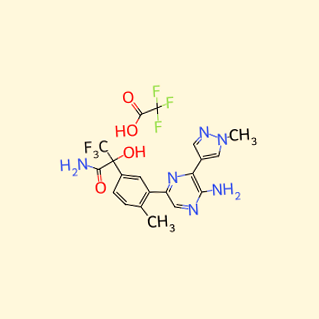 Cc1ccc(C(O)(C(N)=O)C(F)(F)F)cc1-c1cnc(N)c(-c2cnn(C)c2)n1.O=C(O)C(F)(F)F